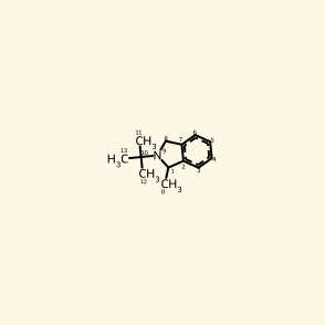 CC1c2ccccc2CN1C(C)(C)C